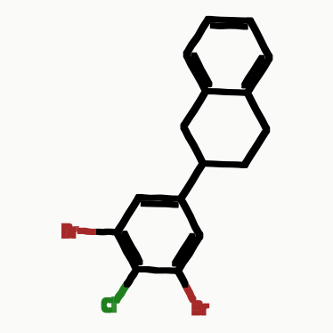 Clc1c(Br)cc(C2CCc3ccccc3C2)cc1Br